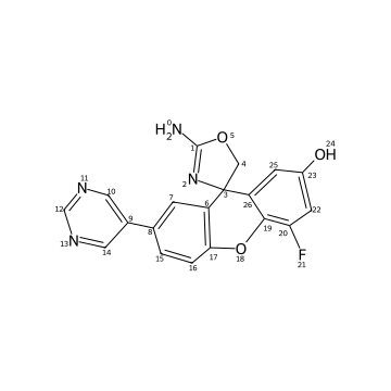 NC1=NC2(CO1)c1cc(-c3cncnc3)ccc1Oc1c(F)cc(O)cc12